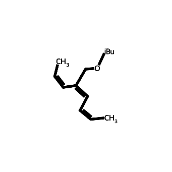 C\C=C/C=C(\C=C/C)COC(C)CC